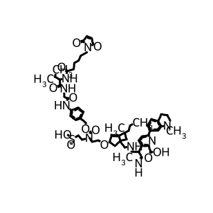 CCCC1(C)CC2(CNC(C)C(C=N)c3ccc(-c4ccc5c(c4)N(C)CCC5)nc3C(=O)O)CC(OCCN(CCS(=O)O)C(=O)OCc3ccc(NC(=O)CNC(=O)C(NC(=O)CCCCCN4C(=O)C=CC4=O)C(C)C)cc3)C=C12